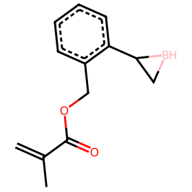 C=C(C)C(=O)OCc1ccccc1C1BC1